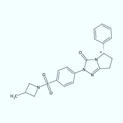 CC1CN(S(=O)(=O)c2ccc(-n3nc4n(c3=O)[C@H](c3ccccc3)CC4)cc2)C1